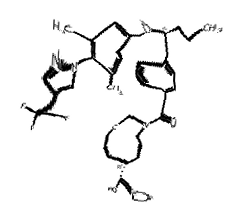 CCC[C@H](Oc1cc(C)c(-n2cc(C(F)(F)F)cn2)c(C)c1)c1ccc(C(=O)N2CCC[C@@H](C(=O)O)C2)cc1